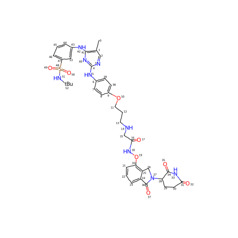 Cc1cnc(Nc2ccc(OCCCNCC(=O)NOc3cccc4c3CN(C3CCC(=O)NC3=O)C4=O)cc2)nc1Nc1cccc(S(=O)(=O)NC(C)(C)C)c1